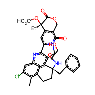 CC[C@@]1(OC(=O)O)C(=O)OCc2c1cc1n(c2=O)Cc2c-1nc1cc(Cl)c(C)c3c1c2[C@](Cc1ccccc1)(NC(=O)CO)CC3